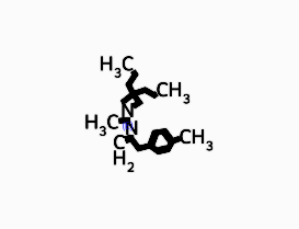 C=C(Cc1ccc(C)cc1)/N=C(\C)N1CC(CCC)(CCC)C1